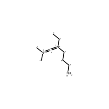 CC[N+](=C=[N+](C)C)CCCN